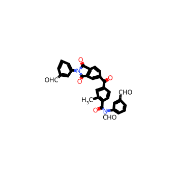 Cc1cc(C(=O)c2ccc3c(c2)C(=O)N(c2cccc(C=O)c2)C3=O)ccc1C(=O)N(C=O)c1cccc(C=O)c1